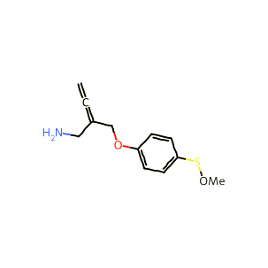 C=C=C(CN)COc1ccc(SOC)cc1